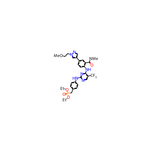 CCOP(=O)(Cc1ccc(Nc2ncc(C(F)(F)F)c(Nc3ccc(-c4cnn(CCOC)c4)cc3C(=O)NC)n2)cc1)OCC